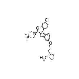 CC1CCCN1CCCOc1cnc2c(c1)cc(C(=O)N1CCC(F)(F)CC1)n2-c1ccc(Cl)cc1